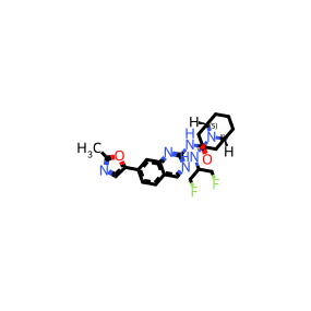 Cc1ncc(-c2ccc3cnc(NC(=O)N4[C@@H]5CCC[C@H]4C[C@H](NC(CF)CF)C5)nc3c2)o1